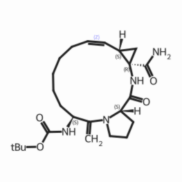 C=C1[C@@H](NC(=O)OC(C)(C)C)CCCCC/C=C\[C@@H]2C[C@@]2(C(N)=O)NC(=O)[C@@H]2CCCN12